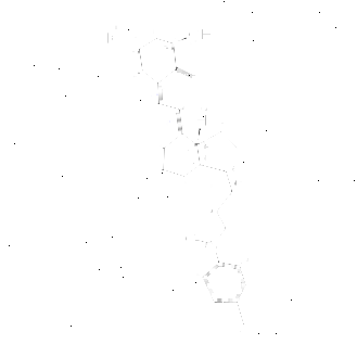 C=C1/C(=C\C=C2/CCC[C@]3(C)[C@@H]([C@H](C)CC[S+]([O-])c4ccc(C)cc4)CC[C@@H]23)C[C@H](O)C[C@H]1O